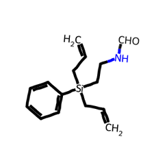 C=CC[Si](CC=C)(CCNC=O)c1ccccc1